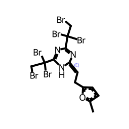 Cc1ccc(C/C=C2/N=C(C(Br)(Br)CBr)N=C(C(Br)(Br)CBr)N2)o1